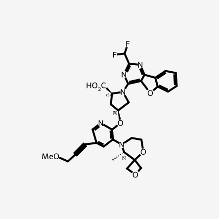 COCC#Cc1cnc(O[C@H]2C[C@@H](C(=O)O)N(c3nc(C(F)F)nc4c3oc3ccccc34)C2)c(N2CCOC3(COC3)[C@@H]2C)c1